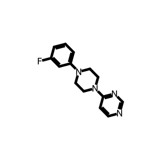 Fc1cccc(N2CCN(c3ccncn3)CC2)c1